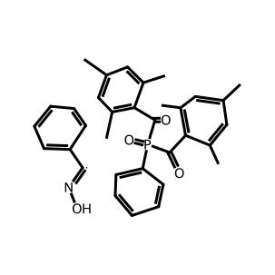 Cc1cc(C)c(C(=O)P(=O)(C(=O)c2c(C)cc(C)cc2C)c2ccccc2)c(C)c1.ON=[C]c1ccccc1